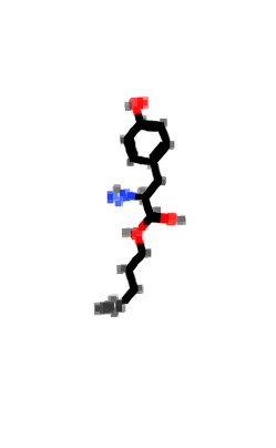 N[C@@H](Cc1ccc(O)cc1)C(=O)OCCCC(=O)O